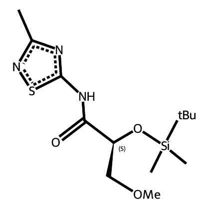 COC[C@H](O[Si](C)(C)C(C)(C)C)C(=O)Nc1nc(C)ns1